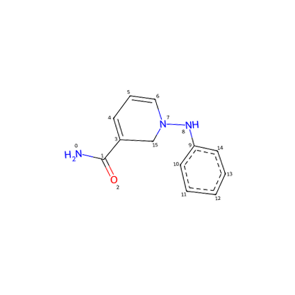 NC(=O)C1=CC=CN(Nc2ccccc2)C1